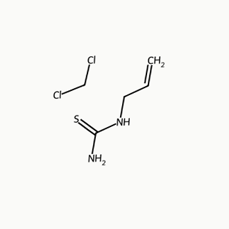 C=CCNC(N)=S.ClCCl